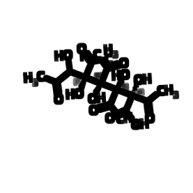 CC(=O)C(O)[C@](O)(C(C)=O)[C@](O)(C(C)=O)[C@@](O)(C(C)=O)[C@@](O)(C(C)=O)C(=O)O